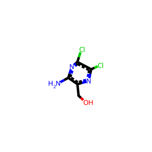 Nc1nc(Cl)c(Cl)nc1CO